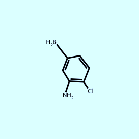 Bc1ccc(Cl)c(N)c1